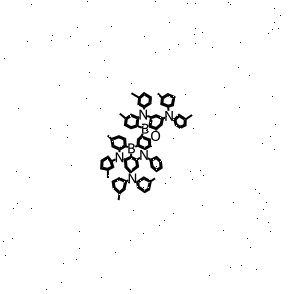 Cc1cccc(N(c2cccc(C)c2)c2cc3c4c(c2)N(c2cccc(C)c2)c2cc(C)ccc2B4c2cc4c(cc2O3)N(c2ccccc2)c2cc(N(c3cccc(C)c3)c3cccc(C)c3)cc3c2B4c2ccc(C)cc2N3c2cccc(C)c2)c1